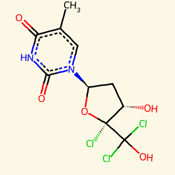 Cc1cn([C@H]2C[C@H](O)[C@@](Cl)(C(O)(Cl)Cl)O2)c(=O)[nH]c1=O